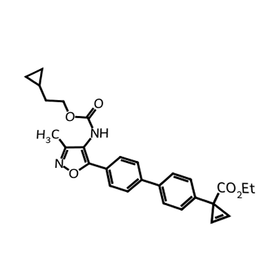 CCOC(=O)C1(c2ccc(-c3ccc(-c4onc(C)c4NC(=O)OCCC4CC4)cc3)cc2)C=C1